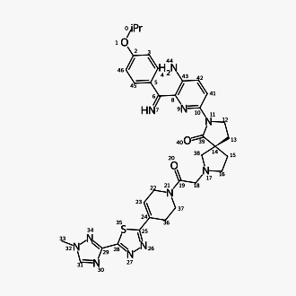 CC(C)Oc1ccc(C(=N)c2nc(N3CC[C@]4(CCN(CC(=O)N5CC=C(c6nnc(-c7ncn(C)n7)s6)CC5)C4)C3=O)ccc2N)cc1